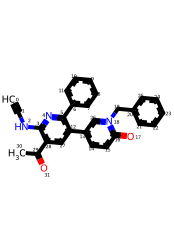 C#CNc1nc(-c2ccccc2)c(-c2ccc(=O)n(Cc3ccccc3)c2)cc1C(C)=O